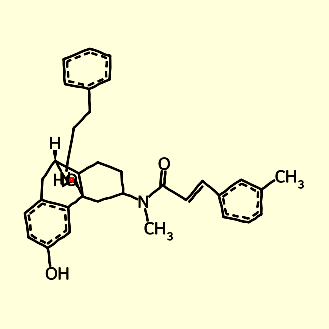 Cc1cccc(/C=C/C(=O)N(C)C2CC[C@@]3(O)[C@H]4Cc5ccc(O)cc5[C@@]3(CCN4CCc3ccccc3)C2)c1